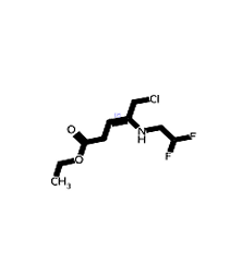 CCOC(=O)C/C=C(/CCl)NCC(F)F